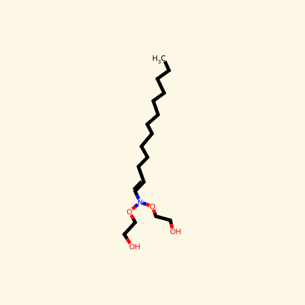 CCCCCCCCCCCC=CN(OCCO)OCCO